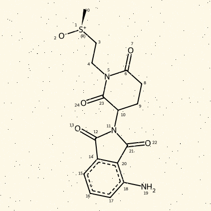 C[S@+]([O-])CCN1C(=O)CCC(N2C(=O)c3cccc(N)c3C2=O)C1=O